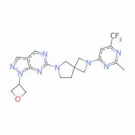 Cc1nc(N2CC3(CCN(c4ncc5cnn(C6COC6)c5n4)C3)C2)cc(C(F)(F)F)n1